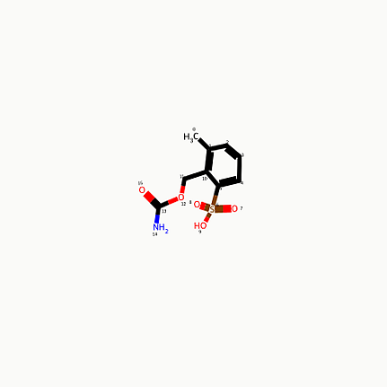 Cc1cccc(S(=O)(=O)O)c1COC(N)=O